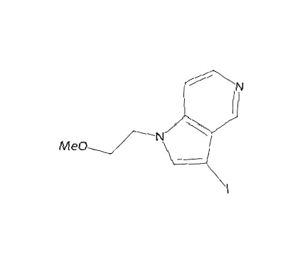 COCCn1cc(I)c2cnccc21